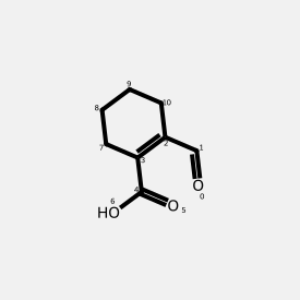 O=CC1=C(C(=O)O)CCCC1